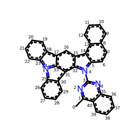 Cc1nc(-n2c3ccc4ccccc4c3c3cc4c5ccccc5n5c6ccccc6c(c32)c45)nc2ccccc12